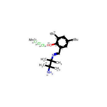 CC(C)(C)c1cc(C=NC(C)(C)C(C)(C)N)c(O)c(C(C)(C)C)c1.[Cl-].[Cl-].[Cl-].[Mn+3]